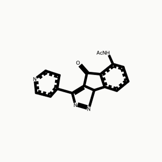 CC(=O)Nc1cccc2c1C(=O)C1=C(c3ccncc3)N=NC12